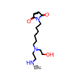 CC(C)(C)NCCN(CCO)CCCCCCN1C(=O)C=CC1=O